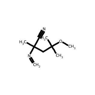 C=NC(C)(C#N)CC(C)(C)OC